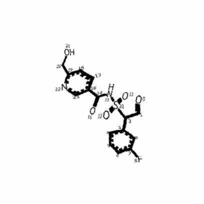 O=CC(c1cccc(F)c1)S(=O)(=O)NC(=O)c1ccc(CO)nc1